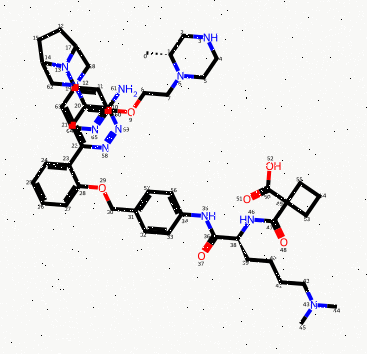 C[C@@H]1CNCCN1CCOc1cc(N2C3CCC2CN(c2cc(-c4ccccc4OCc4ccc(NC(=O)[C@H](CCCCN(C)C)NC(=O)C5(C(=O)O)CCC5)cc4)nnc2N)C3)ccn1